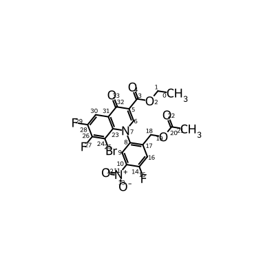 CCOC(=O)c1cn(-c2cc([N+](=O)[O-])c(F)cc2COC(C)=O)c2c(Br)c(F)c(F)cc2c1=O